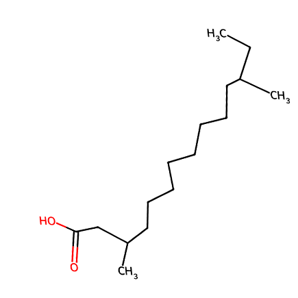 CCC(C)CCCCCCCCC(C)CC(=O)O